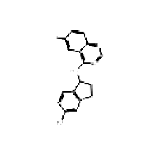 Oc1ccc2c(c1)CCC2Nc1ncnc2ccc(F)cc12